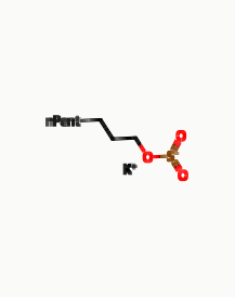 CCCCCCCCO[S-](=O)=O.[K+]